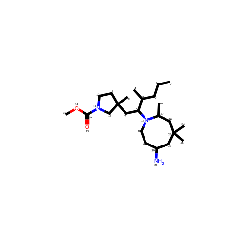 CCCC(C)C(CC1(C)CCN(C(=O)OC)C1)N1CCC(N)CC(C)(C)CC1C